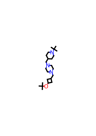 CC(C)(C)OC1CC(CN2CCN(CC3CCN(C(C)(C)C)CC3)CC2)C1